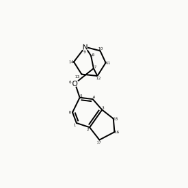 c1cc2c(cc1OC1CN3CCC1CC3)CCC2